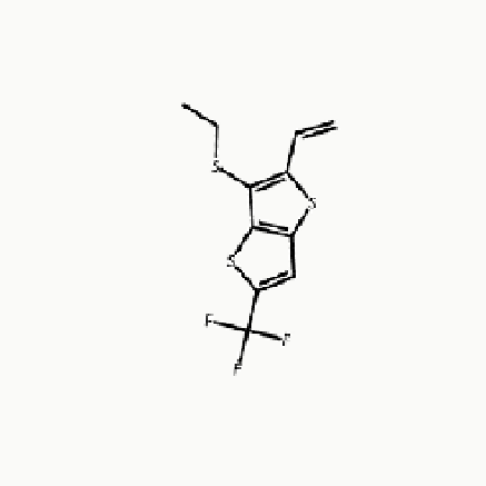 C=Cc1sc2cc(C(F)(F)F)sc2c1SCC